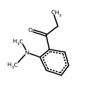 CCC(=O)c1ccccc1N(C)C